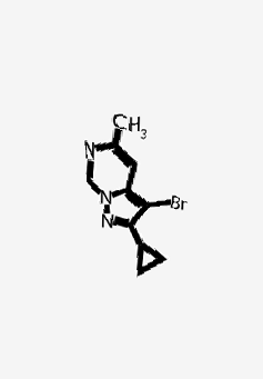 Cc1cc2c(Br)c(C3CC3)nn2cn1